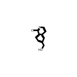 OCc1ccc2c(Cl)nccc2c1